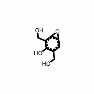 OCc1cc2c(c(CO)c1O)O2